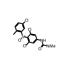 CNC(=O)Nc1cc(Cl)c([S+]([O-])c2cc(Cl)ccc2C)c(Cl)c1